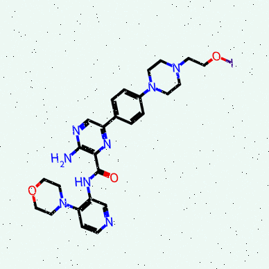 Nc1ncc(-c2ccc(N3CCN(CCOI)CC3)cc2)nc1C(=O)Nc1cnccc1N1CCOCC1